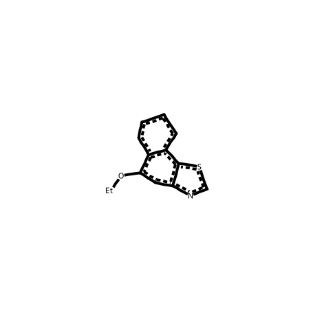 CCOc1cc2ncsc2c2ccccc12